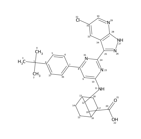 CC(C)(C)c1ccc(-c2cc(NC3C4CCC(CC4)C3C(=O)O)nc(-c3n[nH]c4ncc(Cl)cc34)n2)cc1